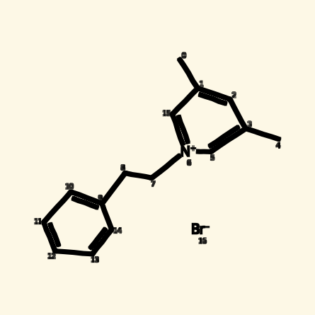 Cc1cc(C)c[n+](CCc2ccccc2)c1.[Br-]